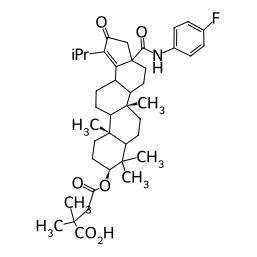 CC(C)C1=C2C3CCC4[C@@](C)(CCC5C(C)(C)[C@@H](OC(=O)CC(C)(C)C(=O)O)CC[C@@]54C)C3CCC2(C(=O)Nc2ccc(F)cc2)CC1=O